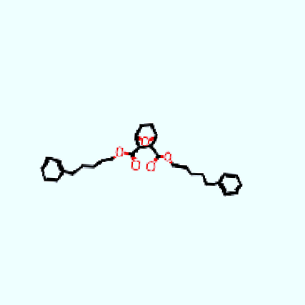 O=C(OCCCCCc1ccccc1)C1C2CCC(O2)C1C(=O)OCCCCCc1ccccc1